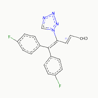 O=C/C=C/C(=C(c1ccc(F)cc1)c1ccc(F)cc1)n1cnnn1